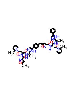 Cc1cc(C(=O)N[C@@H](CC(=O)N2CCCCC2C)C(=O)N[C@@H](C)c2ncc(-c3ccc(Cc4cc(C(=O)N[C@@H](CC(=O)N5CCCC[C@@H]5C)C(=O)N[C@@H](C)c5ncc(-c6ccccc6)[nH]5)no4)cc3)[nH]2)no1